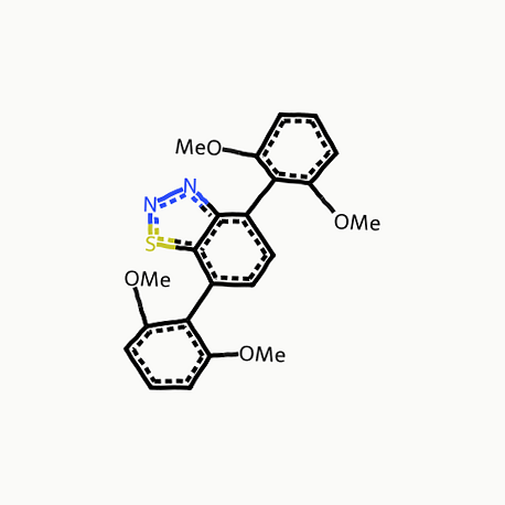 COc1cccc(OC)c1-c1ccc(-c2c(OC)cccc2OC)c2snnc12